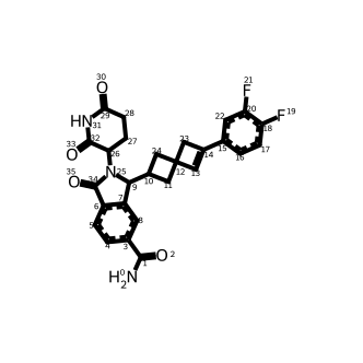 NC(=O)c1ccc2c(c1)C(C1CC3(C=C(c4ccc(F)c(F)c4)C3)C1)N(C1CCC(=O)NC1=O)C2=O